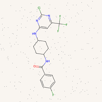 O=C(NC1CCC(Nc2cc(C(F)(F)F)nc(Cl)n2)CC1)c1ccc(F)cc1